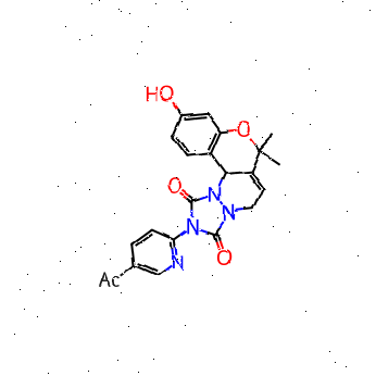 CC(=O)c1ccc(-n2c(=O)n3n(c2=O)C2C(=CC3)C(C)(C)Oc3cc(O)ccc32)nc1